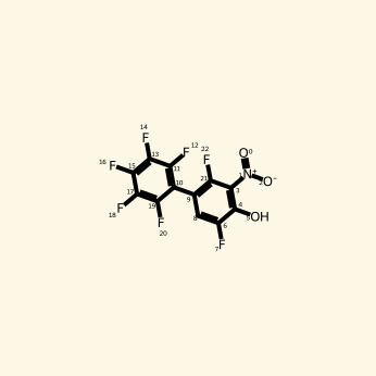 O=[N+]([O-])c1c(O)c(F)cc(-c2c(F)c(F)c(F)c(F)c2F)c1F